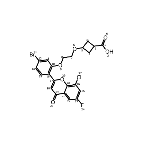 O=C(O)C1CC(OCCOc2cc(Br)ccc2-c2cc(=O)c3cc(F)cc(Cl)c3o2)C1